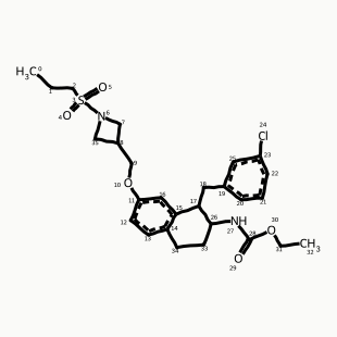 CCCS(=O)(=O)N1CC(COc2ccc3c(c2)C(Cc2cccc(Cl)c2)C(NC(=O)OCC)CC3)C1